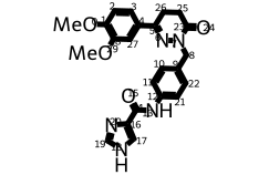 COc1ccc(C2=NN(Cc3ccc(NC(=O)c4c[nH]cn4)cc3)C(=O)CC2)cc1OC